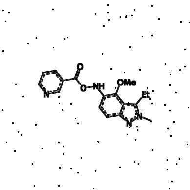 CCc1c2c(OC)c(NOC(=O)c3cccnc3)ccc2nn1C